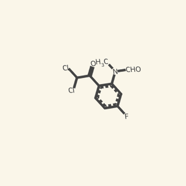 CN(C=O)c1cc(F)ccc1C(=O)C(Cl)Cl